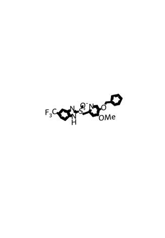 COc1cc(C[S+]([O-])c2nc3cc(C(F)(F)F)ccc3[nH]2)ncc1OCc1ccccc1